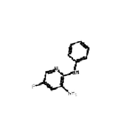 Nc1cc(F)cnc1Nc1ccccc1